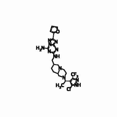 CC(c1c(C(F)(F)F)n[nH]c1Cl)N1CCN2CC(CNc3nc(N)n4nc(-c5ccco5)nc4n3)CCC2C1